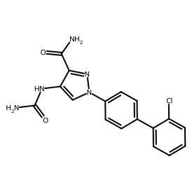 NC(=O)Nc1cn(-c2ccc(-c3ccccc3Cl)cc2)nc1C(N)=O